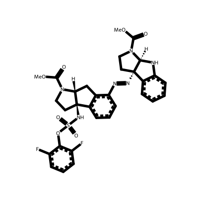 COC(=O)N1CC[C@]2(/N=N/c3cccc4c3C[C@H]3N(C(=O)OC)CC[C@@]43NS(=O)(=O)Oc3c(F)cccc3F)c3ccccc3N[C@H]12